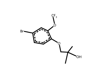 CC(C)(O)COc1ccc(Br)cc1OC(F)(F)F